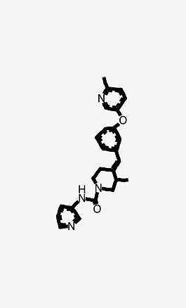 Cc1ccc(Oc2cccc(/C=C3\CCN(C(=O)Nc4cccnc4)CC3C)c2)cn1